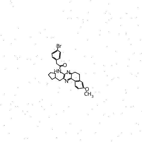 COc1ccc2c(c1)CCc1nc(NC(=O)Cc3ccc(Br)cc3)c(CC3CCCC3)nc1-2